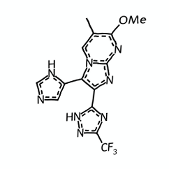 COc1nc2nc(-c3nc(C(F)(F)F)n[nH]3)c(-c3cnc[nH]3)n2cc1C